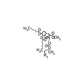 CCCCCC(=O)Oc1ccc(C[C@H](NCCOC(=O)OC(C)CC)C(=O)OC)cc1OC(=O)CCCCC